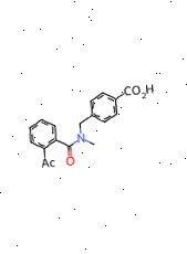 CC(=O)c1ccccc1C(=O)N(C)Cc1ccc(C(=O)O)cc1